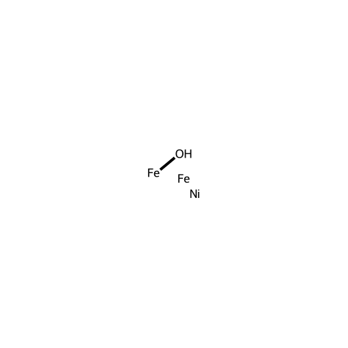 [Fe].[Ni].[OH][Fe]